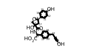 O=C(O)[C@@H](NC(=O)[C@]1(O)CO[C@@H](c2ccc(O)cc2)C1)c1ccc(CC#CO)cc1